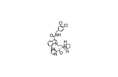 CCc1cccc2c(C(=O)NCc3ccc(Cl)c(Cl)c3)cn(CCCN3[C@@H]4CC[C@H]3C[C@H](CC(=O)c3ccccn3)C4)c12